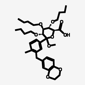 CCCCO[C@H]1[C@H](OCCCC)[C@@H](OCCCC)C(OC)(c2ccc(C)c(Cc3ccc4c(c3)OCCO4)c2)O[C@@H]1C(=O)O